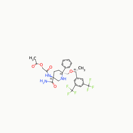 CC(=O)OCC(=O)N[C@@]1(C(N)=O)CC[C@@](CO[C@H](C)c2cc(C(F)(F)F)cc(C(F)(F)F)c2)(c2ccccc2)NC1